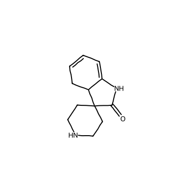 O=C1NC2=CC=CCC2C12CCNCC2